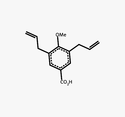 C=CCc1cc(C(=O)O)cc(CC=C)c1OC